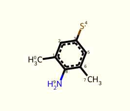 Cc1cc([S])cc(C)c1N